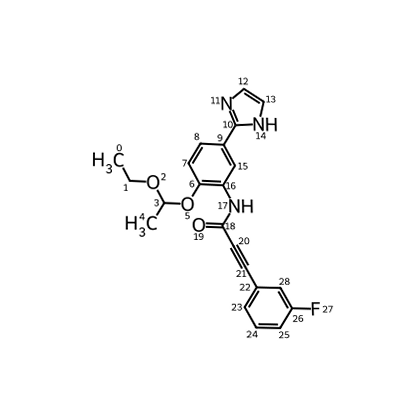 CCOC(C)Oc1ccc(-c2ncc[nH]2)cc1NC(=O)C#Cc1cccc(F)c1